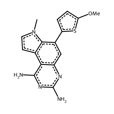 COc1ccc(-c2cc3nc(N)nc(N)c3c3ccn(C)c23)s1